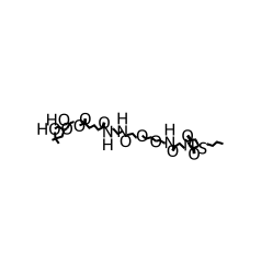 CCCCSC1CC(=O)N(CCC(=O)NCCOCCOCCC(=O)NCCNC(=O)CCCC(=O)OCC(O)OC(CO)CC(C)(C)C)C1=O